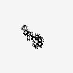 CCCOc1ccc2c(c1-c1ncnc3c(C(=O)NC4CCN(C[C](C)C)CC4)c[nH]c13)OCO2